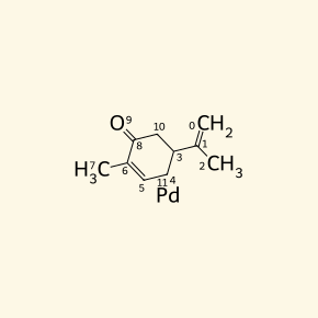 C=C(C)C1CC=C(C)C(=O)C1.[Pd]